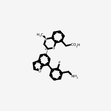 CN1C[C@@H](c2cc(-c3cccc(CN)c3F)c3occc3c2)Oc2c(CC(=O)O)cccc21